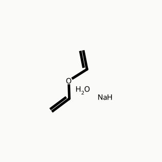 C=COC=C.O.[NaH]